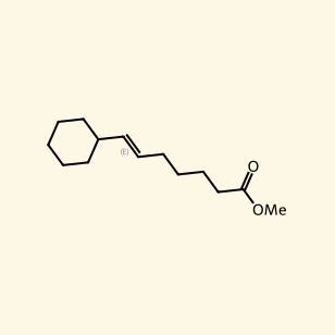 COC(=O)CCCC/C=C/C1CCCCC1